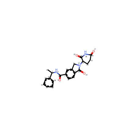 CC(NC(=O)c1ccc2c(c1)CN(C1CCC(=O)NC1=O)C2=O)c1ccccc1